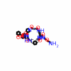 NCCOCCNC(=O)[C@@H]1CCNC(=O)/C=C/C(=O)N2CCC[C@](Cc3ccccc3)(C2)C(=O)N[C@@H](Cc2ccc(-c3ccccc3O)cc2)C(=O)NCc2ccccc2CC(=O)N1